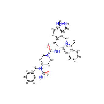 C=C1[C@H](NC(=O)N2CCC(N3Cc4ccccc4NC3=O)CC2)Cc2ccc3[nH]ncc3c2CN1[C@@H](C)c1ccccc1